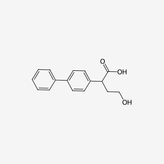 O=C(O)C(CCO)c1ccc(-c2ccccc2)cc1